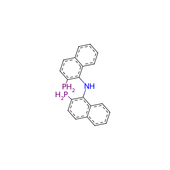 Pc1ccc2ccccc2c1Nc1c(P)ccc2ccccc12